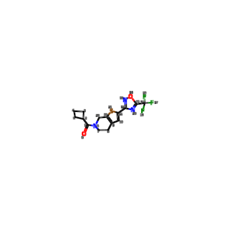 O=C(C1CCC1)N1CCc2cc(-c3noc(C(F)(F)F)n3)sc2C1